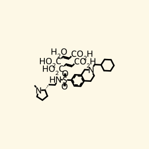 CN1CCC[C@H]1CCNS(=O)(=O)c1ccc2c(c1)CN(CC1CCCCC1)CC2.O.O=C(O)/C=C/C(=O)O.O=C(O)/C=C/C(=O)O